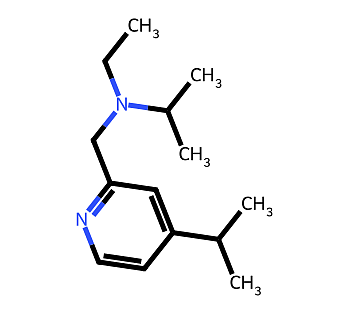 CCN(Cc1cc(C(C)C)ccn1)C(C)C